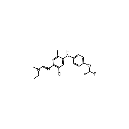 CCN(C)C=Nc1cc(C)c(Nc2ccc(OC(F)F)cc2)cc1Cl